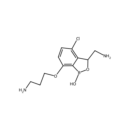 NCCCOc1ccc(Cl)c2c1B(O)OC2CN